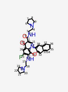 O=C(NCCN1CCCC1)c1cn2c3c(c(NCCN4CCCC4)c(F)cc3c1=O)Oc1cc3ccccc3cc1-2